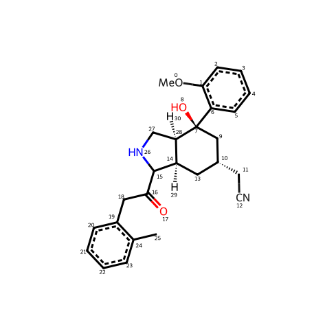 COc1ccccc1[C@]1(O)C[C@H](CC#N)C[C@H]2C(C(=O)Cc3ccccc3C)NC[C@H]21